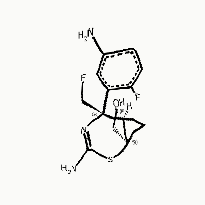 NC1=N[C@](CF)(c2cc(N)ccc2F)[C@H]2C[C@@]2(CO)S1